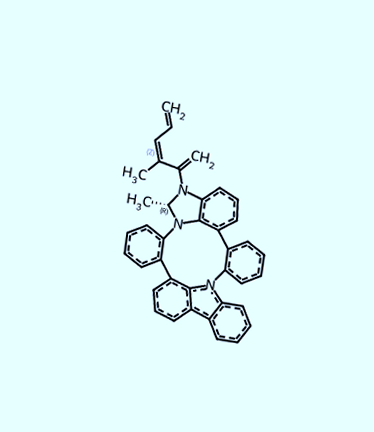 C=C/C=C(/C)C(=C)N1c2cccc3c2N(c2ccccc2-c2cccc4c5ccccc5n(c24)-c2ccccc2-3)[C@@H]1C